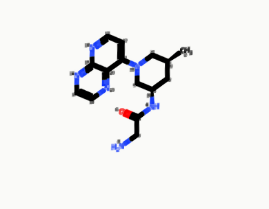 C[C@H]1C[C@@H](NC(=O)CN)CN(c2ccnc3nccnc23)C1